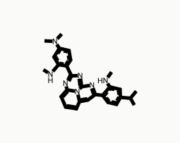 CNc1cc(C(C)C)ccc1C1=NC2=NC(c3ccc(N(C)C)cc3NC)=NC3=CC=CC(=C1)N32